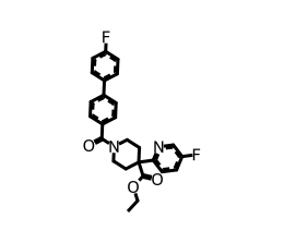 CCOC(=O)C1(c2ccc(F)cn2)CCN(C(=O)c2ccc(-c3ccc(F)cc3)cc2)CC1